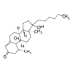 CCCCCCC1(O)CC[C@H]2[C@@H]3CCC4=CC(=O)CC(C)[C@]4(C)[C@@H]3CC[C@@]21C